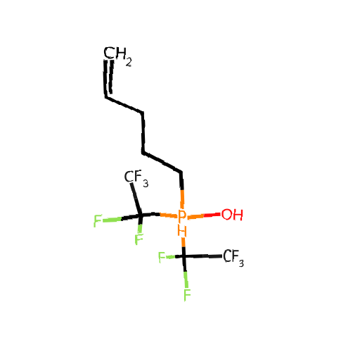 C=CCCC[PH](O)(C(F)(F)C(F)(F)F)C(F)(F)C(F)(F)F